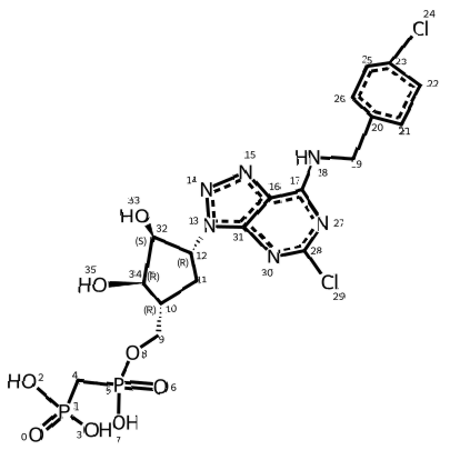 O=P(O)(O)CP(=O)(O)OC[C@H]1C[C@@H](n2nnc3c(NCc4ccc(Cl)cc4)nc(Cl)nc32)[C@H](O)[C@@H]1O